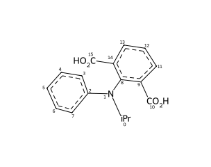 CC(C)N(c1ccccc1)c1c(C(=O)O)cccc1C(=O)O